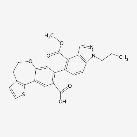 CCCn1ncc2c(C(=O)OC)c(-c3cc4c(cc3C(=O)O)-c3sccc3CCO4)ccc21